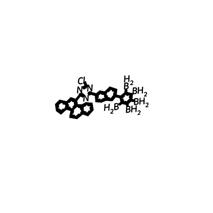 Bc1c(B)c(B)c(-c2ccc3cc(-c4nc(Cl)nc(-c5cc6ccccc6c6ccc7ccccc7c56)n4)ccc3c2)c(B)c1B